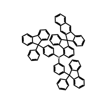 c1ccc(C2(c3ccc(N(c4cccc(C5(c6ccccc6)c6ccccc6-c6ccccc65)c4)c4cccc5c4-c4ccccc4C54c5ccccc5-c5cc6ccccc6cc54)cc3)c3ccccc3-c3ccccc32)cc1